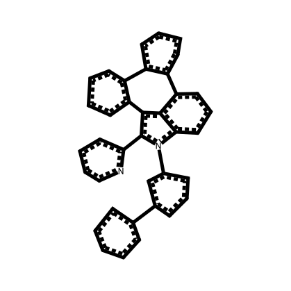 c1ccc(-c2cccc(-n3c(-c4ccccn4)c4c5c(cccc53)-c3ccccc3-c3ccccc3-4)c2)cc1